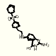 NC1=Nc2ccc(NCCc3ccc(S(=O)(=O)c4ccccc4)cc3)cc2C(S)N1